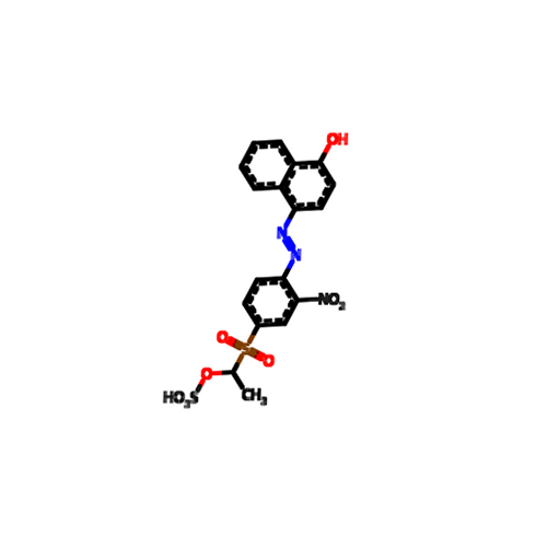 CC(OS(=O)(=O)O)S(=O)(=O)c1ccc(N=Nc2ccc(O)c3ccccc23)c([N+](=O)[O-])c1